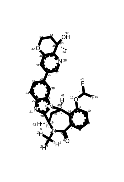 [2H]C([2H])([2H])N1C(=O)c2cccc(OC(F)F)c2[C@H]2C[C@@H]1c1nc3ccc(-c4cnc5c(c4)OCC[C@@]5(C)O)cc3n12